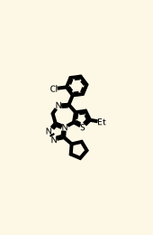 CCc1cc2c(s1)-n1c(nnc1C1CCCC1)CN=C2c1ccccc1Cl